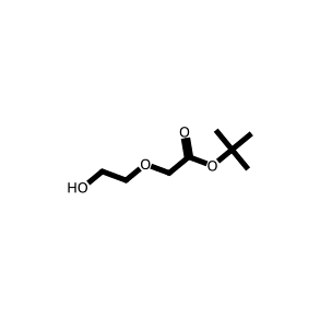 CC(C)(C)OC(=O)COCCO